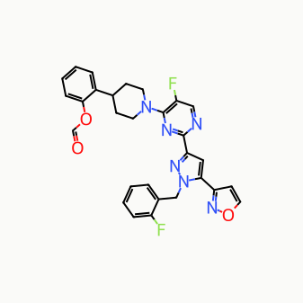 O=COc1ccccc1C1CCN(c2nc(-c3cc(-c4ccon4)n(Cc4ccccc4F)n3)ncc2F)CC1